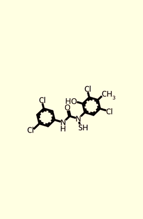 Cc1c(Cl)cc(N(S)C(=O)Nc2cc(Cl)cc(Cl)c2)c(O)c1Cl